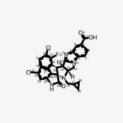 O=C(O)c1ccc2c(c1)nc1n2C[C@H]2[C@@H]1[C@H](c1cccc(Cl)c1F)[C@]1(C(=O)Nc3cc(Cl)ccc31)N2CC1CC1